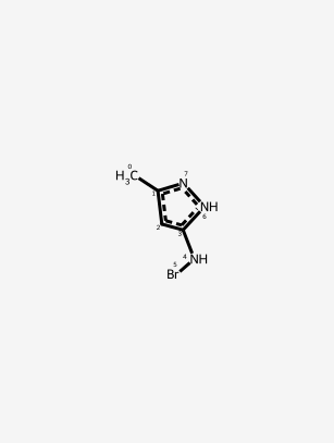 Cc1cc(NBr)[nH]n1